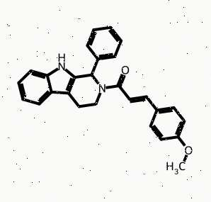 COc1ccc(/C=C/C(=O)N2CCc3c([nH]c4ccccc34)C2c2ccccc2)cc1